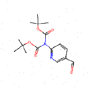 CC(C)(C)OC(=O)N(C(=O)OC(C)(C)C)c1ccc(C=O)cn1